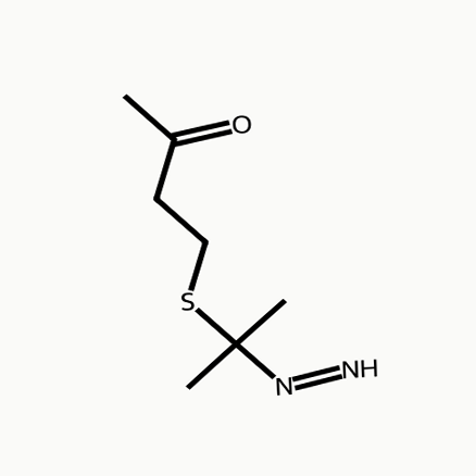 CC(=O)CCSC(C)(C)N=N